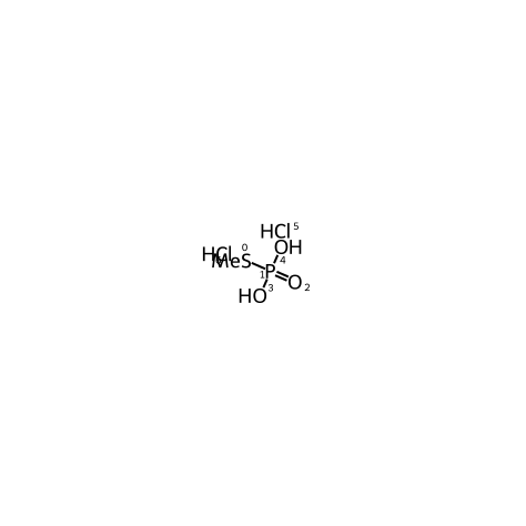 CSP(=O)(O)O.Cl.Cl